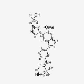 COc1cc2ncc(-c3cccc(N[C@@H]4CCNCC4(F)F)n3)n2cc1-c1cnn(CC(C)(C)O)c1